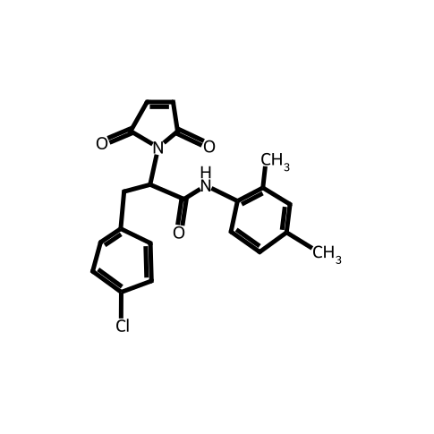 Cc1ccc(NC(=O)C(Cc2ccc(Cl)cc2)N2C(=O)C=CC2=O)c(C)c1